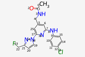 CC(=O)NCc1cc(Nc2ccc(Cl)cc2)nc(-n2ccc(CF)n2)c1